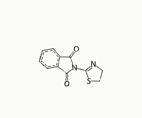 O=C1c2ccccc2C(=O)N1C1=NCCS1